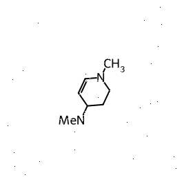 CNC1C=CN(C)CC1